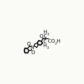 CC(C)(CC(=O)O)C(=O)c1ccc2c(c1)CC(N1C(=O)c3ccccc3C1=O)C2